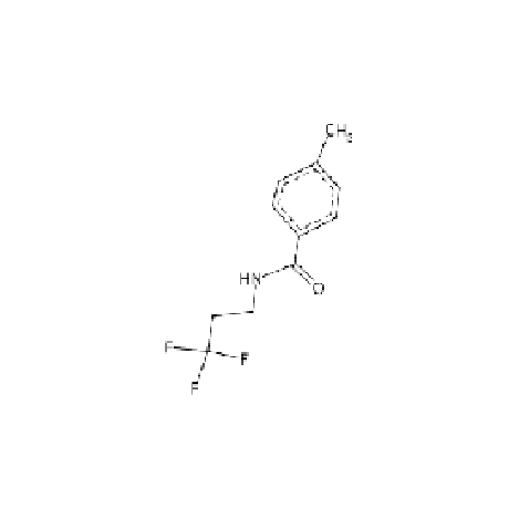 Cc1ccc(C(=O)NCCC(F)(F)F)cc1